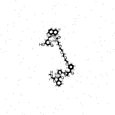 CN[C@@H](C)C(=O)N[C@H](C(=O)N1CCC[C@H]1c1nc(C(=O)c2cccc(OCCOCCOCCOCCNC(=O)O[C@H]3C[C@@H](C)C=C4C=C[C@H](C)[C@H](CC[C@@H]5C[C@@H](O)CC(=O)O5)[C@H]43)c2)cs1)C1CCCCC1